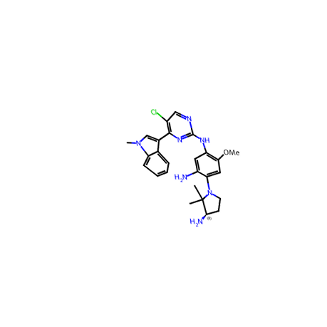 COc1cc(N2CC[C@@H](N)C2(C)C)c(N)cc1Nc1ncc(Cl)c(-c2cn(C)c3ccccc23)n1